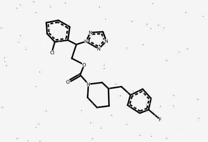 O=C(OCC(c1ccccc1Cl)n1ncnn1)N1CCCC(Cc2ccc(F)cc2)C1